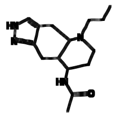 CCCN1CCC(NC(C)=O)C2Cc3n[nH]cc3CC21